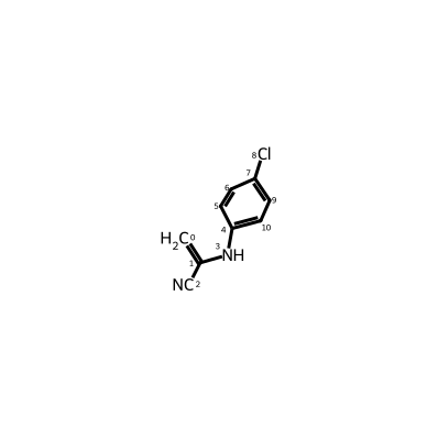 C=C(C#N)Nc1ccc(Cl)cc1